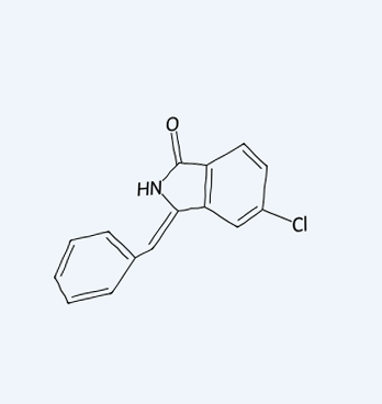 O=C1NC(=Cc2ccccc2)c2cc(Cl)ccc21